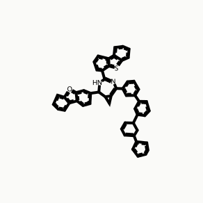 C1=CC(c2cccc(-c3cccc(C4=C5CC5C(c5ccc6c(c5)oc5ccccc56)NC(c5cccc6c5sc5ccccc56)=N4)c3)c2)CC(c2ccccc2)=C1